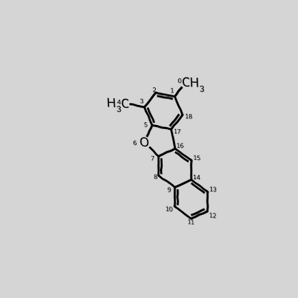 Cc1cc(C)c2oc3cc4ccccc4cc3c2c1